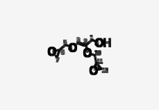 OCC(=COCC1CO1)OCC1CO1